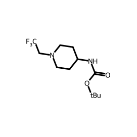 CC(C)(C)OC(=O)NC1CCN(CC(F)(F)F)CC1